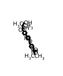 CC(C)c1noc(N2CCC(COc3ccc(C4=CCC(C(=O)NCC(C)(C)CO)CC4)nc3)CC2)n1